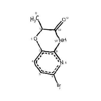 CC1Oc2ccc(Br)nc2NC1=O